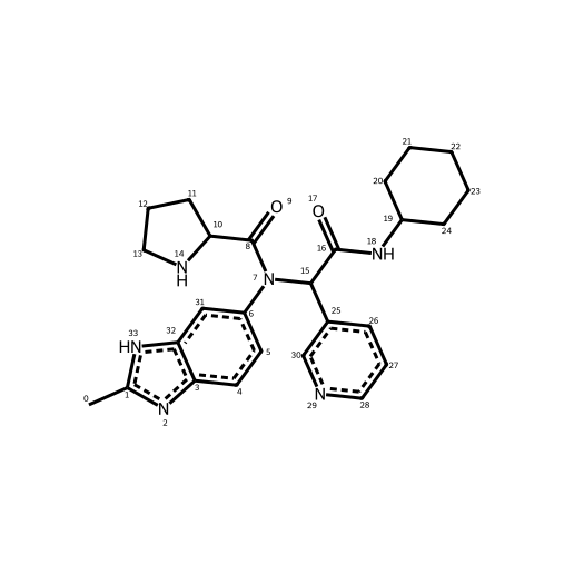 Cc1nc2ccc(N(C(=O)C3CCCN3)C(C(=O)NC3CCCCC3)c3cccnc3)cc2[nH]1